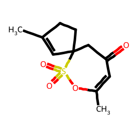 CC1=CC2(CC1)CC(=O)C=C(C)OS2(=O)=O